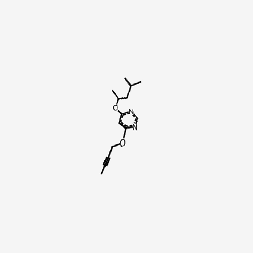 CC#CCOc1cc(OC(C)CC(C)C)ncn1